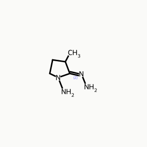 CC1CCN(N)/C1=N\N